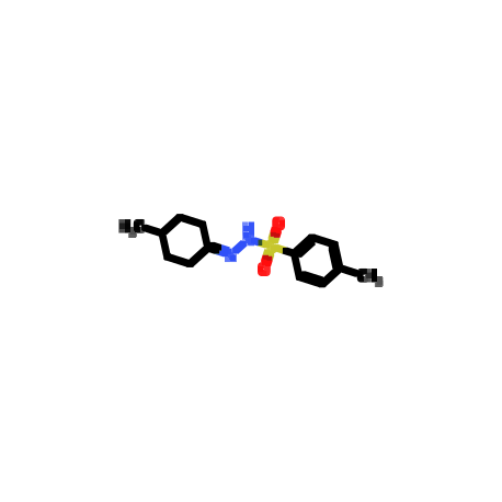 Cc1ccc(S(=O)(=O)NN=C2CCC(C)CC2)cc1